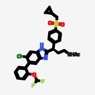 CC(=O)NCC[C@H](c1ccc(S(=O)(=O)CC2CC2)cc1)c1nc2cc(-c3ccccc3OC(F)F)c(Cl)cc2[nH]1